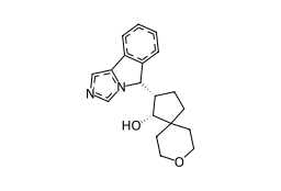 O[C@@H]1[C@H](C2c3ccccc3-c3cncn32)CCC12CCOCC2